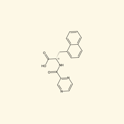 O=C(N[C@@H](Cc1cccc2ccccc12)C(=O)O)c1cnccn1